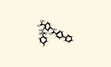 O=C(Nc1ccc(C(=O)O)c(NS(=O)(=O)c2ccc(F)cc2)c1)c1ccc(-c2ccccc2)cc1